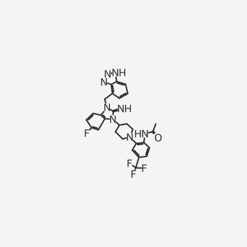 CC(=O)Nc1ccc(C(F)(F)F)cc1N1CCC(n2c(=N)n(Cc3cccc4[nH]nnc34)c3ccc(F)cc32)CC1